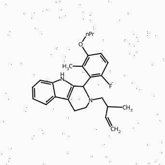 C=CC(C)CN1CCc2c([nH]c3ccccc23)C1c1c(F)ccc(OCCC)c1C